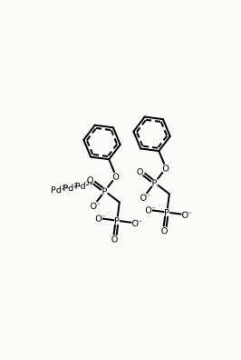 O=P([O-])([O-])CP(=O)([O-])Oc1ccccc1.O=P([O-])([O-])CP(=O)([O-])Oc1ccccc1.[Pd+2].[Pd+2].[Pd+2]